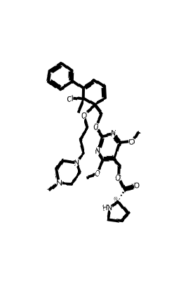 COc1nc(OCC2(OCCCN3CCN(C)CC3)C=CC=C(c3ccccc3)C2(C)Cl)nc(OC)c1COC(=O)[C@@H]1CCCN1